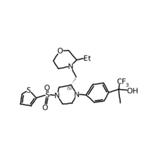 CCC1COCCN1C[C@H]1CN(S(=O)(=O)c2cccs2)CCN1c1ccc(C(C)(O)C(F)(F)F)cc1